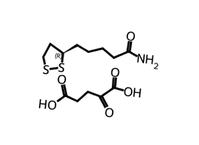 NC(=O)CCCC[C@@H]1CCSS1.O=C(O)CCC(=O)C(=O)O